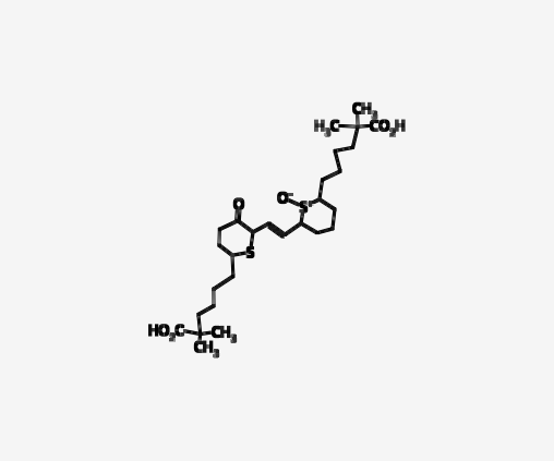 CC(C)(CCCCC1CCC(=O)C(C=CC2CCCC(CCCCC(C)(C)C(=O)O)[S+]2[O-])S1)C(=O)O